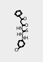 O=C(CC(=O)c1ccccc1)NC(=S)NNc1ccc(Cl)cc1